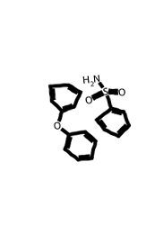 NS(=O)(=O)c1ccccc1.c1ccc(Oc2ccccc2)cc1